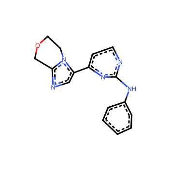 c1ccc(Nc2nccc(-c3cnc4n3CCOC4)n2)cc1